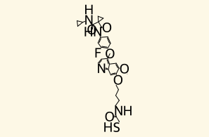 COc1cc2c(Oc3ccc(NC(=O)C4(C(=O)NC5CC5)CC4)cc3F)ccnc2cc1OCCCCCNC(=O)CS